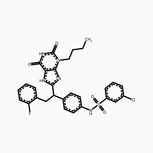 CCCCn1c(=O)[nH]c(=O)c2[nH]c(C(Cc3ccccc3F)c3ccc(NS(=O)(=O)c4cccc(Cl)c4)cc3)nc21